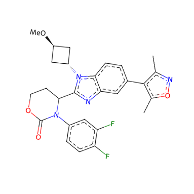 CO[C@H]1C[C@H](n2c(C3CCOC(=O)N3c3ccc(F)c(F)c3)nc3cc(-c4c(C)noc4C)ccc32)C1